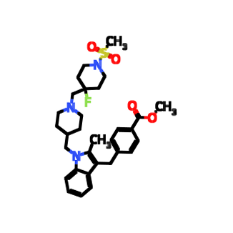 COC(=O)c1ccc(Cc2c(C)n(CC3CCN(CC4(F)CCN(S(C)(=O)=O)CC4)CC3)c3ccccc23)cc1